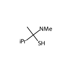 CNC(C)(S)C(C)C